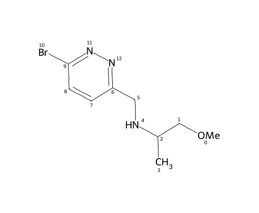 COCC(C)NCc1ccc(Br)nn1